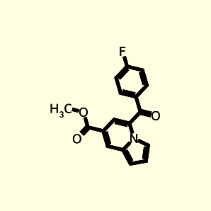 COC(=O)c1cc(C(=O)c2ccc(F)cc2)n2cccc2c1